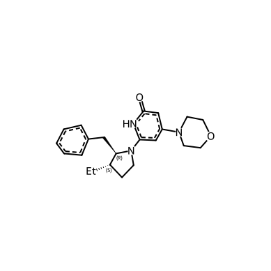 CC[C@H]1CCN(c2cc(N3CCOCC3)cc(=O)[nH]2)[C@@H]1Cc1ccccc1